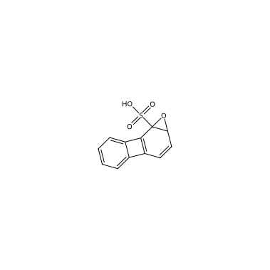 O=S(=O)(O)C12OC1C=CC1=C2c2ccccc21